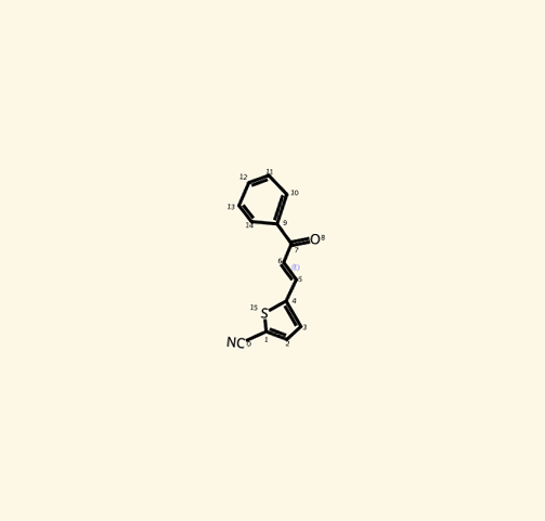 N#Cc1ccc(/C=C/C(=O)c2ccccc2)s1